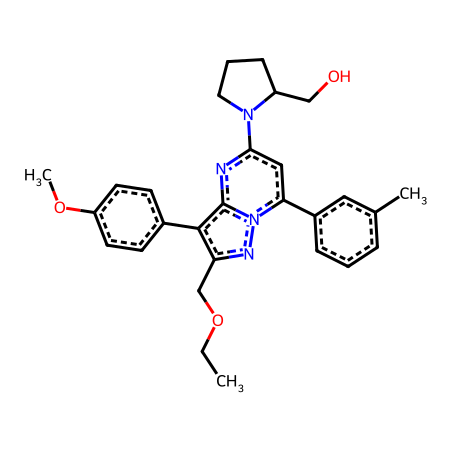 CCOCc1nn2c(-c3cccc(C)c3)cc(N3CCCC3CO)nc2c1-c1ccc(OC)cc1